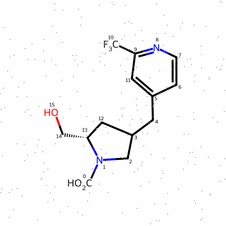 O=C(O)N1CC(Cc2ccnc(C(F)(F)F)c2)C[C@H]1CO